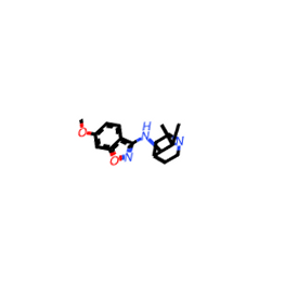 COc1ccc2c(NC3C4CCN(CC4)C3(C)C)noc2c1